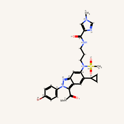 CNC(=O)c1c2cc(C3CC3)c(N(CCCNC(=O)c3cn(C)cn3)S(C)(=O)=O)cc2nn1-c1ccc(Br)cc1